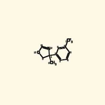 CC1(c2cccc(C(F)(F)F)c2)CO[C]=N1